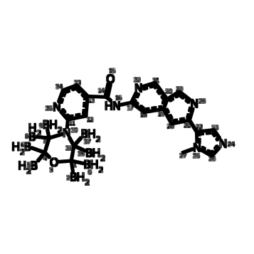 BC1(B)OC(B)(B)C(B)(B)N(c2cc(C(=O)Nc3cc4cc(-c5cncn5C)ncc4cn3)ccn2)C1(B)B